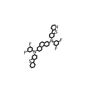 Fc1cc(F)cc(N(c2ccc3c(ccc4cc(N(c5cc(F)cc(F)c5)c5ccc6c(c5)sc5ncccc56)ccc43)c2)c2ccc3c(c2)sc2ccccc23)c1